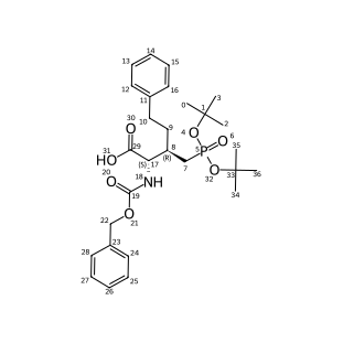 CC(C)(C)OP(=O)(C[C@H](CCc1ccccc1)[C@H](NC(=O)OCc1ccccc1)C(=O)O)OC(C)(C)C